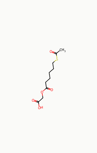 CC(=O)SCCCCCC(=O)OCC(=O)O